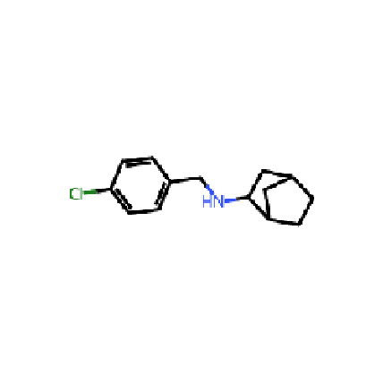 Clc1ccc(CNC2CC3CCC2C3)cc1